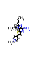 CCCCc1nc2c(N)nc3cc(C4CCN(C)CC4)sc3c2n1C(C)(C)C